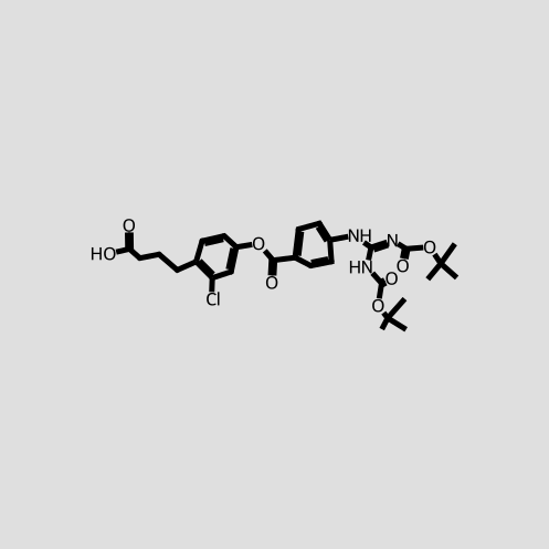 CC(C)(C)OC(=O)/N=C(\NC(=O)OC(C)(C)C)Nc1ccc(C(=O)Oc2ccc(CCCC(=O)O)c(Cl)c2)cc1